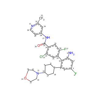 Nc1cc(F)cc(C2CCC(N3CCOCC3)CC2)c1-c1cc(Cl)c(C(=O)Nc2ccnc(C(F)(F)F)c2)cc1F